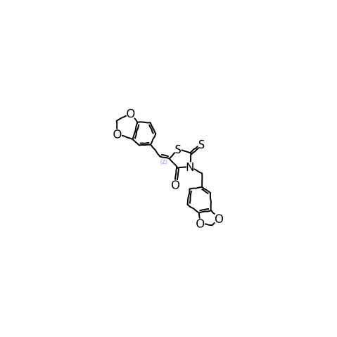 O=C1/C(=C/c2ccc3c(c2)OCO3)SC(=S)N1Cc1ccc2c(c1)OCO2